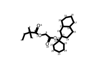 CCC(C)(C)C(=O)OCC(=O)OC1(C2CCC3CCCCC3C2)CCCCC1